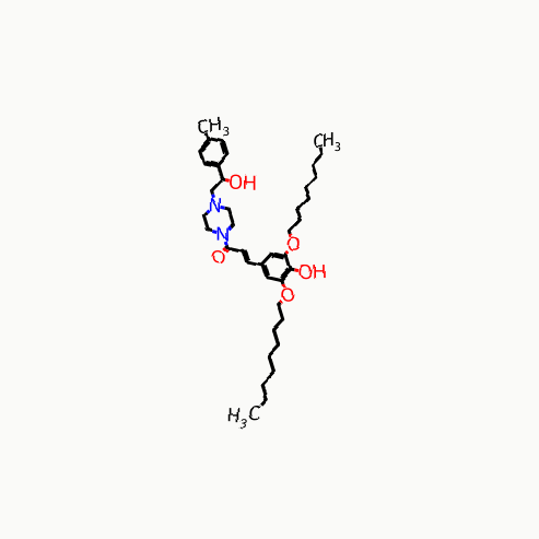 CCCCCCCCCOc1cc(C=CC(=O)N2CCN(CC(O)c3ccc(C)cc3)CC2)cc(OCCCCCCCCC)c1O